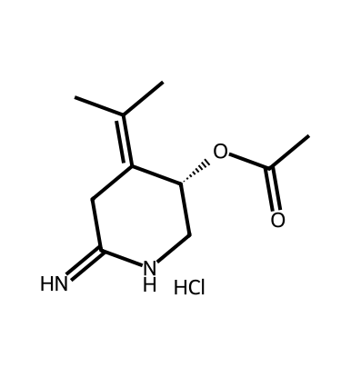 CC(=O)O[C@@H]1CNC(=N)CC1=C(C)C.Cl